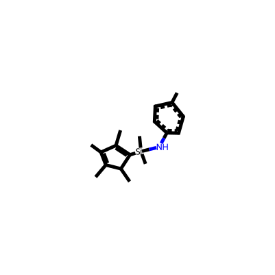 CC1=C(C)C(C)C([Si](C)(C)Nc2ccc(C)cc2)=C1C